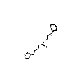 O=C(CCCCC1CCSS1)OCCOc1ccccc1